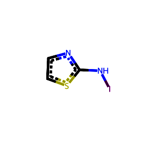 INc1nccs1